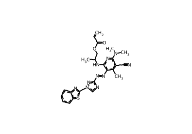 C=CC(=O)OCC(C)Nc1nc(N(C)C)c(C#N)c(C)c1N=Nc1ncn(-c2nc3ccccc3s2)n1